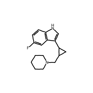 Fc1ccc2[nH]cc(C3CC3CN3CCCCC3)c2c1